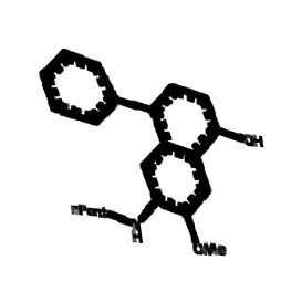 CCCCCNc1cc2c(-c3ccccc3)ccc(O)c2cc1OC